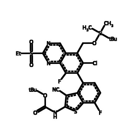 CCS(=O)(=O)c1ncc2c(CO[Si](C)(C)C(C)(C)C)c(Cl)c(-c3ccc(F)c4sc(NC(=O)OC(C)(C)C)c(C#N)c34)c(F)c2n1